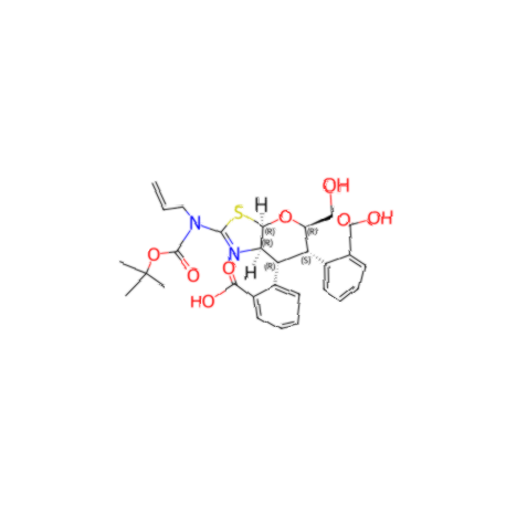 C=CCN(C(=O)OC(C)(C)C)C1=N[C@@H]2[C@@H](c3ccccc3C(=O)O)[C@@H](c3ccccc3C(=O)O)[C@H](CO)O[C@@H]2S1